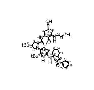 C#CCCC(NC(=O)C1CC(C(C)(C)C)CN1C(=O)[C@@H](NC(=O)NC1(CS(=O)(=O)c2ccccc2)CCCCC1)C(C)(C)C)C(=O)C(=O)NCC=C